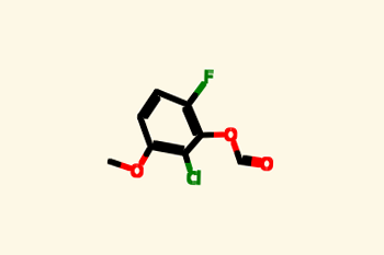 COc1ccc(F)c(OC=O)c1Cl